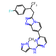 Cn1nccc1Nc1nccc(-c2ccn3c(C[C@@H](c4ccc(F)cc4)C(F)(F)F)nnc3c2)n1